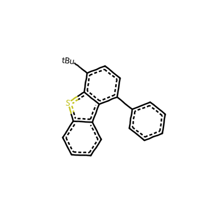 CC(C)(C)c1ccc(-c2ccccc2)c2c1sc1ccccc12